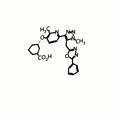 Cc1nc(-c2nnn(C)c2Cc2nnc(-c3ccccc3)o2)ccc1O[C@H]1CCC[C@H](C(=O)O)C1